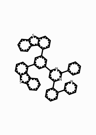 c1ccc(-c2nc(-c3cc(-c4cccc5sc6ccccc6c45)cc(-c4cccc5sc6ccccc6c45)c3)cc(-c3ccccc3-c3cccnc3)n2)cc1